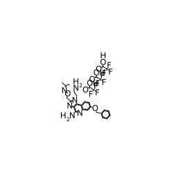 CC(C)=NOCc1nc2c(N)nc3cc(OCc4ccccc4)ccc3c2n1CCN.O=C(O)C(F)(F)F.O=C(O)C(F)(F)F.O=C(O)C(F)(F)F